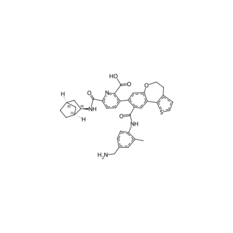 Cc1cc(CN)ccc1NC(=O)c1cc2c(cc1-c1ccc(C(=O)N[C@@H]3C[C@@H]4CC[C@H]3C4)nc1C(=O)O)OCCc1ccsc1-2